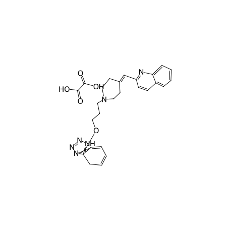 C1=CCC23NN=NN2CCC=C(OCCCN2CCC(=Cc4ccc5ccccc5n4)CC2)C3=C1.O=C(O)C(=O)O